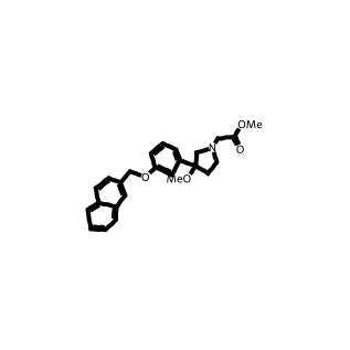 COC(=O)CN1CCC(OC)(c2cccc(OCc3ccc4ccccc4c3)c2)C1